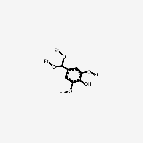 CCOc1cc(C(OCC)OCC)cc(OCC)c1O